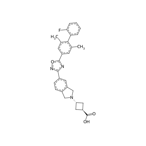 Cc1cc(-c2nc(-c3ccc4c(c3)CN([C@H]3C[C@H](C(=O)O)C3)C4)no2)cc(C)c1-c1ccccc1F